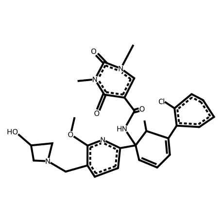 COc1nc(C2(NC(=O)c3cn(C)c(=O)n(C)c3=O)C=CC=C(c3ccccc3Cl)C2C)ccc1CN1CC(O)C1